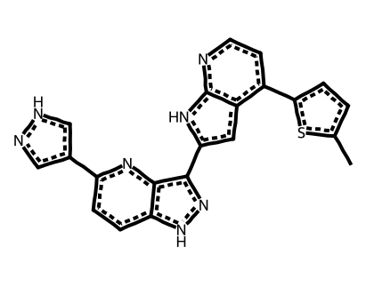 Cc1ccc(-c2ccnc3[nH]c(-c4n[nH]c5ccc(-c6cn[nH]c6)nc45)cc23)s1